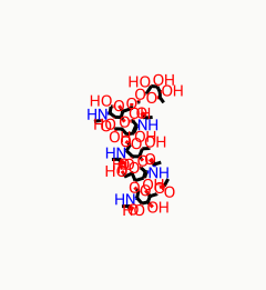 CC(=O)N/C(=C(\O)C(CCO)OC1OC(COC(C)=O)C(O)C(O)C1NC(C)=O)C(O)OC1C(CO)OC(OC(CCO)/C(O)=C(/NC(C)=O)C(O)OC2C(COCOC3OC(C)C(O)C(O)C3O)OC(O)C(NC(C)=O)C2O)C(NC(C)=O)C1O